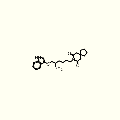 NC(CCCCN1C(=O)CC2(CCCC2)CC1=O)CSc1c[nH]c2ccccc12